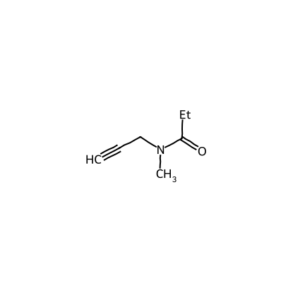 C#CCN(C)C(=O)CC